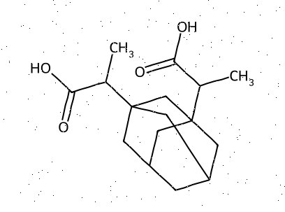 CC(C(=O)O)C12CC3CC(C1)CC(C(C)C(=O)O)(C3)C2